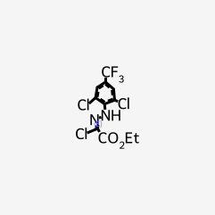 CCOC(=O)/C(Cl)=N\Nc1c(Cl)cc(C(F)(F)F)cc1Cl